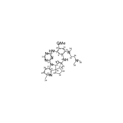 C=CC(=O)Nc1cc(Nc2ncnc(N3CC4(CCCC4)c4nc(C)ccc43)n2)c(OC)cc1N(C)CCN(C)C